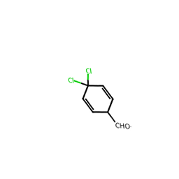 O=[C]C1C=CC(Cl)(Cl)C=C1